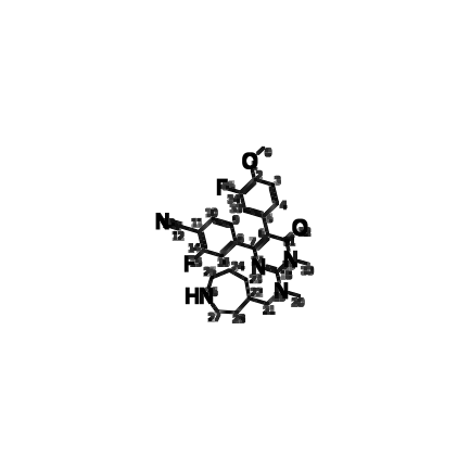 COc1ccc(-c2c(-c3ccc(C#N)c(F)c3)nc(N(C)CC3CCCNCC3)n(C)c2=O)cc1F